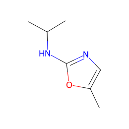 Cc1cnc(NC(C)C)o1